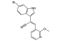 COc1ncccc1C=C(C#N)c1c[nH]c2cc(Br)ccc12